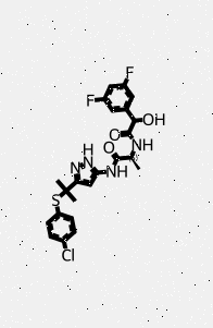 C[C@H](NC(=O)C(O)c1cc(F)cc(F)c1)C(=O)Nc1cc(C(C)(C)Sc2ccc(Cl)cc2)n[nH]1